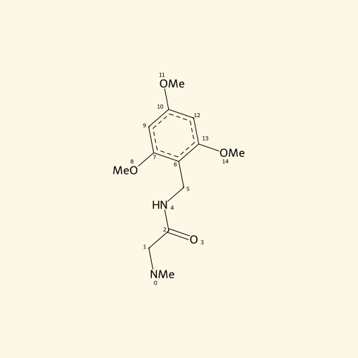 CNCC(=O)NCc1c(OC)cc(OC)cc1OC